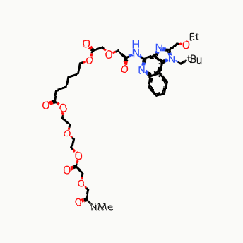 CCOCc1nc2c(NC(=O)COCC(=O)OCCCCCC(=O)OCCOCCOC(=O)COCC(=O)NC)nc3ccccc3c2n1CC(C)(C)C